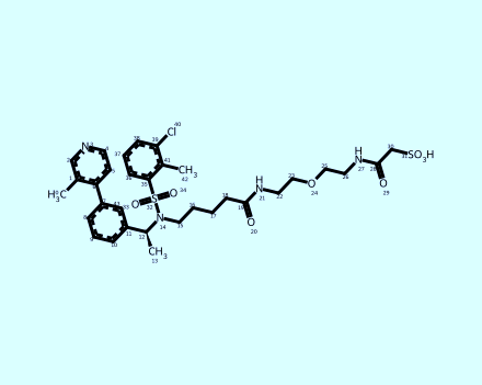 Cc1cnccc1-c1cccc([C@H](C)N(CCCCC(=O)NCCOCCNC(=O)CS(=O)(=O)O)S(=O)(=O)c2cccc(Cl)c2C)c1